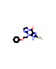 Cc1nc2c([nH]1)N(CCOc1ccccc1)C1=NCCN1C2=O